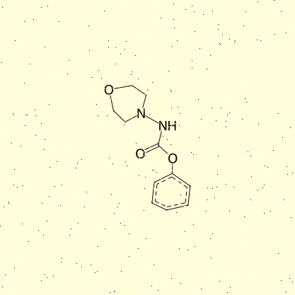 O=C(NN1CCOCC1)Oc1ccccc1